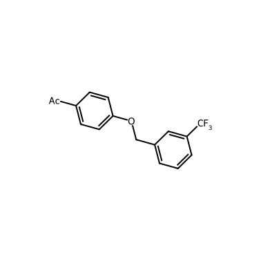 [CH2]C(=O)c1ccc(OCc2cccc(C(F)(F)F)c2)cc1